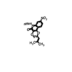 CCCCCCn1c(=O)c(OC(C)C)c(OCC=C(C)C)c2ccc([N+](=O)[O-])cc21